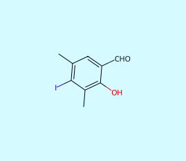 Cc1cc(C=O)c(O)c(C)c1I